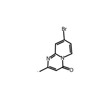 [CH2]c1cc(=O)n2ccc(Br)cc2n1